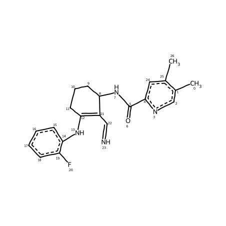 Cc1cnc(C(=O)NC2CCCC(Nc3ccccc3F)=C2C=N)cc1C